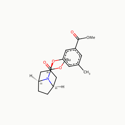 COC(=O)c1cc(C)cc(O[C@H]2C[C@H]3CC[C@@H](C2)N3C(=O)OC(C)(C)C)c1